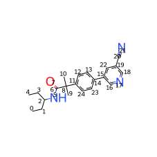 CCC(CC)NC(=O)C(C)(C)c1ccc(-c2cncc(C#N)c2)cc1